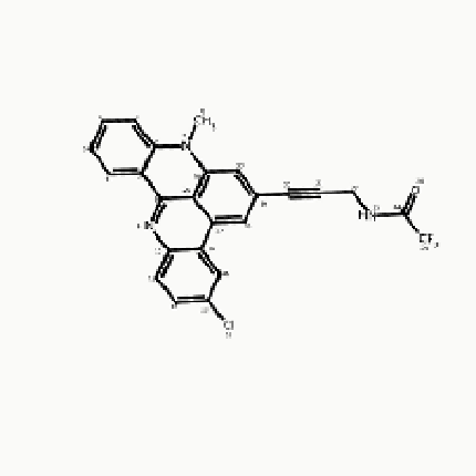 CN1c2ccccc2-c2nc3ccc(Cl)cc3c3cc(C#CCNC(=O)C(F)(F)F)cc1c23